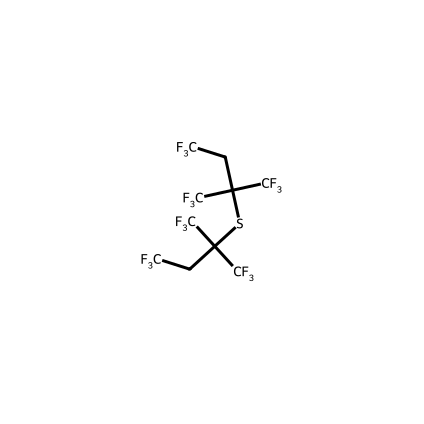 FC(F)(F)CC(SC(CC(F)(F)F)(C(F)(F)F)C(F)(F)F)(C(F)(F)F)C(F)(F)F